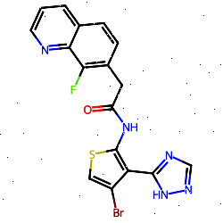 O=C(Cc1ccc2cccnc2c1F)Nc1scc(Br)c1-c1ncn[nH]1